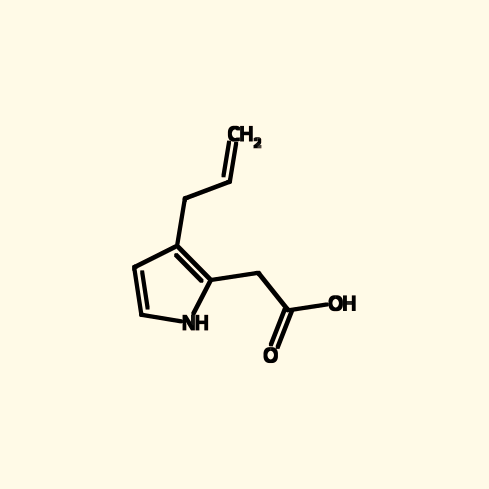 C=CCc1cc[nH]c1CC(=O)O